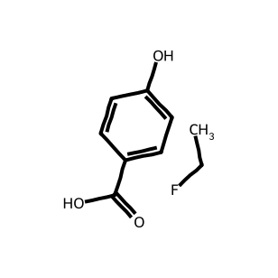 CCF.O=C(O)c1ccc(O)cc1